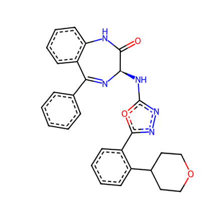 O=C1Nc2ccccc2C(c2ccccc2)=N[C@@H]1Nc1nnc(-c2ccccc2C2CCOCC2)o1